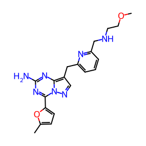 COCCNCc1cccc(Cc2cnn3c(-c4ccc(C)o4)nc(N)nc23)n1